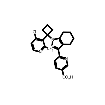 O=C(O)c1ccc(-c2nn(C3(c4c(Cl)ccnc4C(F)(F)F)CCC3)c3c2CCCC3)nc1